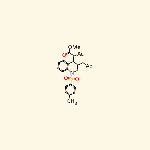 COC(=O)C(C(C)=O)C1c2ccccc2N(S(=O)(=O)c2ccc(C)cc2)CC1CC(C)=O